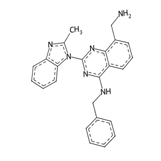 Cc1nc2ccccc2n1-c1nc(NCc2ccccc2)c2cccc(CN)c2n1